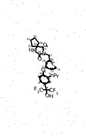 CCCc1cc(C(O)(C(F)(F)F)C(F)(F)F)ccc1Oc1cccc(CN2C(=O)NC3(CCCC3)C2=O)c1